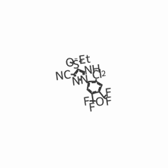 CC[S+]([O-])c1c(C#N)nn(-c2cc3c(cc2Cl)C(F)(F)OC3(F)F)c1N